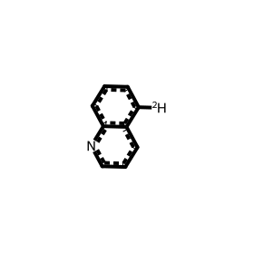 [2H]c1cccc2ncccc12